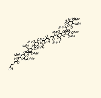 C#CCCCC(=O)NC1OC(COC)[C@H](O[C@@H]2OC(COC)[C@H](O[C@@H]3OC(C)[C@@H](n4cc(C(=O)NCC(=O)NC5OC(COC)[C@H](O[C@@H]6OC(COC)[C@H](O[C@@H]7OC(C)[C@@H](NC(C)=O)[C@@H](OC)C7OC)[C@@H](OC)C6OC)[C@@H](OC)C5OC)nn4)[C@@H](OC)C3OC)[C@@H](OC)C2OC)[C@@H](OC)C1OC